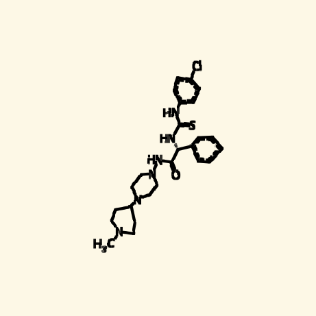 CN1CCC(N2CCN(NC(=O)[C@H](NC(=S)Nc3ccc(Cl)cc3)c3ccccc3)CC2)CC1